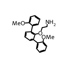 COc1ccccc1-c1cccc(-c2ccccc2OC)c1OCCN